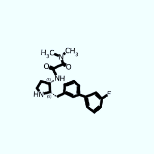 CN(C)C(=O)C(=O)N[C@H]1CCN[C@H]1Cc1cccc(-c2cccc(F)c2)c1